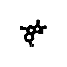 CCN1CCc2c(Br)cc3c(c2C1)NC(=O)C3=O